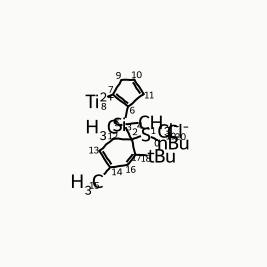 CCCCSC1([Si](C)(C)C2=[C]([Ti+2])CC=C2)CC=C(C)C=C1C(C)(C)C.[Cl-].[Cl-]